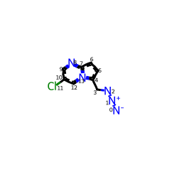 [N-]=[N+]=NCc1ccc2ncc(Cl)cn12